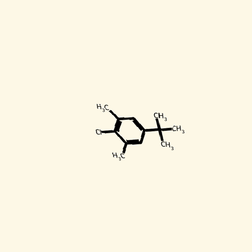 Cc1cc(C(C)(C)C)cc(C)c1Cl